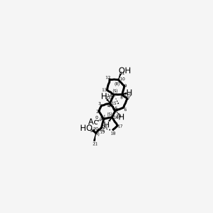 CC(=O)[C@]12CC[C@H]3[C@@H](CC[C@H]4C[C@H](O)CC[C@@]43C)[C@@H]1CC[C@@H]2[C@@H](C)O